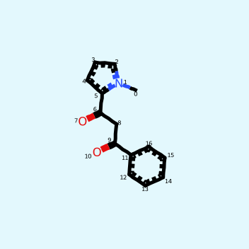 Cn1cccc1C(=O)CC(=O)c1ccccc1